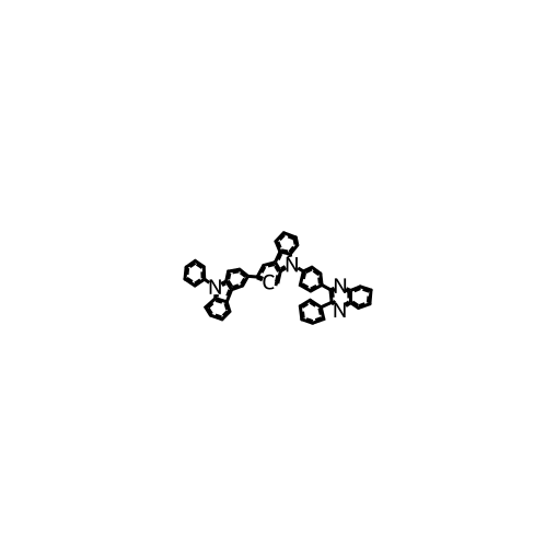 c1ccc(-c2nc3ccccc3nc2-c2ccc(-n3c4ccccc4c4cc(-c5ccc6c(c5)c5ccccc5n6-c5ccccc5)ccc43)cc2)cc1